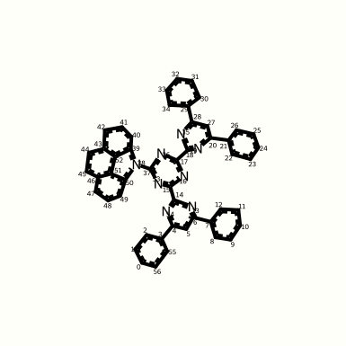 c1ccc(-c2cc(-c3ccccc3)nc(-c3nc(-c4nc(-c5ccccc5)cc(-c5ccccc5)n4)nc(-n4c5cccc6ccc7cccc4c7c65)n3)n2)cc1